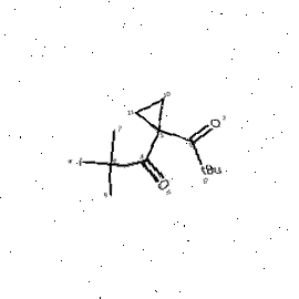 CC(C)(C)C(=O)C1(C(=O)C(C)(C)I)CC1